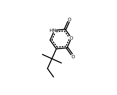 CCC(C)(C)c1c[nH]c(=O)oc1=O